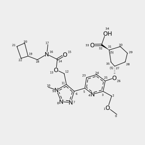 COCc1nc(-c2nnn(C)c2COC(=O)N(C)CC2CCC2)ccc1O[C@H]1CCC[C@H](C(=O)O)C1